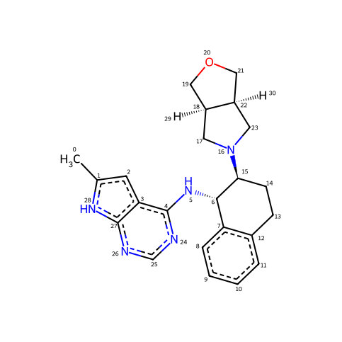 Cc1cc2c(N[C@H]3c4ccccc4CC[C@@H]3N3C[C@H]4COC[C@H]4C3)ncnc2[nH]1